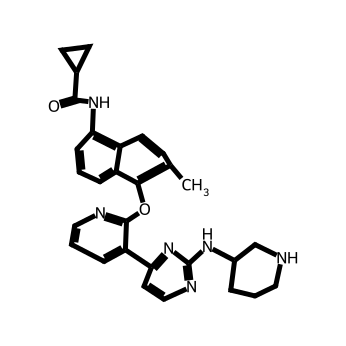 Cc1ccc2c(NC(=O)C3CC3)cccc2c1Oc1ncccc1-c1ccnc(NC2CCCNC2)n1